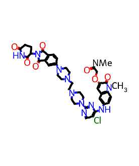 CNC(=O)COc1cc2cc(Nc3nc(N4CCN(CCN5CCN(c6ccc7c(c6)C(=O)N(C6CCC(=O)NC6=O)C7=O)CC5)CC4)ncc3Cl)ccc2n(C)c1=O